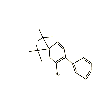 CC(C)(C)C1(C(C)(C)C)C=CC(c2ccccc2)=C(Br)C1